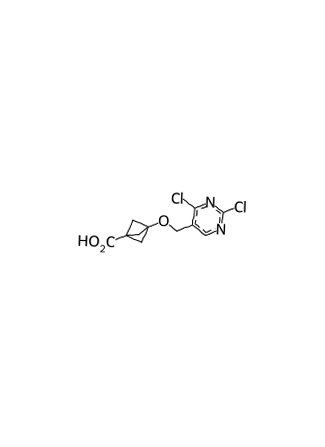 O=C(O)C12CC(OCc3cnc(Cl)nc3Cl)(C1)C2